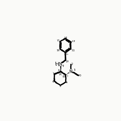 CN(C)[C@@H]1CCCC[C@H]1NCc1ccccc1